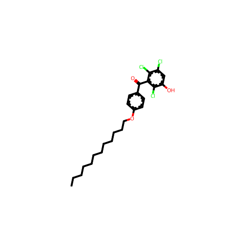 CCCCCCCCCCCCOc1ccc(C(=O)c2c(Cl)c(O)cc(Cl)c2Cl)cc1